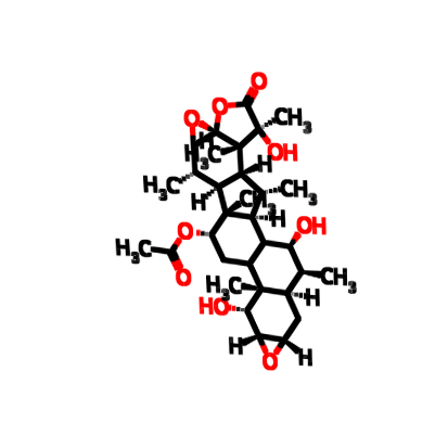 CC(=O)O[C@H]1CC2C([C@@H](O)[C@@H](C)[C@H]3C[C@@H]4O[C@@H]4[C@H](O)[C@]23C)[C@@H]2[C@@H](C)[C@@H]3[C@H]([C@H](C)[C@H]4O[C@]45OC(=O)[C@@](C)(O)[C@]35C)[C@@]12C